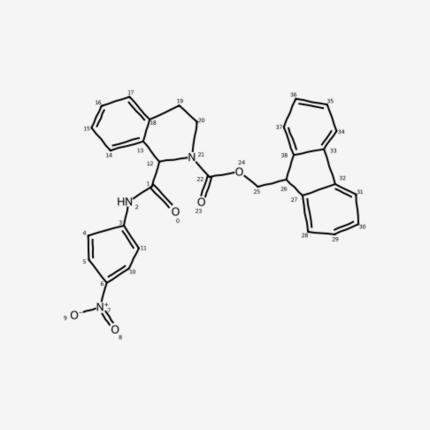 O=C(Nc1ccc([N+](=O)[O-])cc1)C1c2ccccc2CCN1C(=O)OCC1c2ccccc2-c2ccccc21